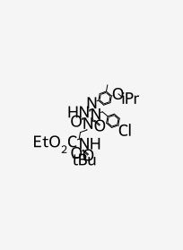 CCOC(=O)C(CCn1c(=O)[nH]c(=Nc2ccc(OC(C)C)c(C)c2)n(Cc2ccc(Cl)cc2)c1=O)NC(=O)OC(C)(C)C